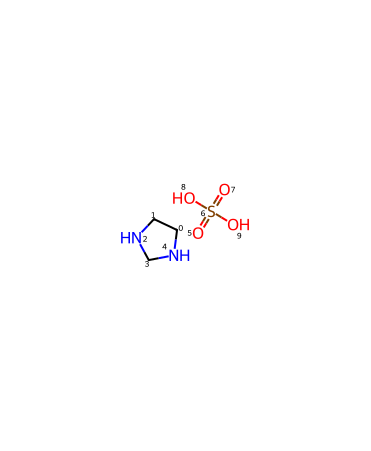 C1CNCN1.O=S(=O)(O)O